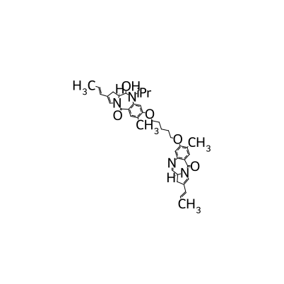 C/C=C/C1=CN2C(=O)c3cc(C)c(OCCCCCOc4cc5c(cc4C)C(=O)N4C=C(/C=C/C)C[C@H]4C(O)N5C(C)C)cc3N=C[C@@H]2C1